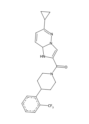 O=C(C1=CN2N=C(C3CC3)C=CC2N1)N1CCC(c2ccccc2C(F)(F)F)CC1